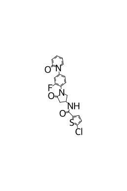 O=C(NC1CC(=O)N(c2ccc(-n3ccccc3=O)cc2F)C1)c1ccc(Cl)s1